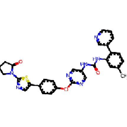 O=C(Nc1cnc(Oc2ccc(-c3cnc(N4CCCC4=O)s3)cc2)nc1)Nc1cc(C(F)(F)F)ccc1-c1cccnc1